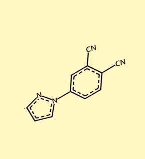 N#Cc1ccc(-n2cc[c]n2)cc1C#N